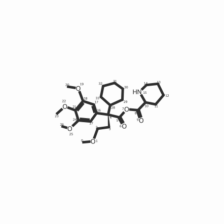 COCC[C@@](C(=O)OC(=O)C1CCCCN1)(c1cc(OC)c(OC)c(OC)c1)C1CCCCC1